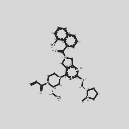 C=CC(=O)N1CCN(c2nc(OC[C@@H]3CCCN3C)nc3c2CN(C(=O)c2cccc4cccc(O)c24)C3)C[C@@H]1CC#N